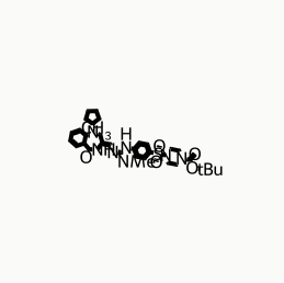 CN/C(=N/C=C1/CN(C2CCCC2)C2(C)C=CC=CC2C(=O)N1)Nc1ccc(S(=O)(=O)N2CCN(C(=O)OC(C)(C)C)CC2)cc1